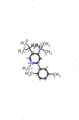 Cc1ccc(C)c(-c2cc([Si](C)(C)C)c(C(C)(C)C)c[n+]2C)c1